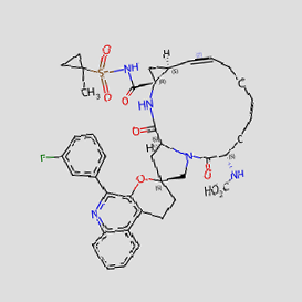 CC1(S(=O)(=O)NC(=O)[C@@]23C[C@H]2/C=C\CCCCC[C@H](NC(=O)O)C(=O)N2C[C@]4(CCc5c(c(-c6cccc(F)c6)nc6ccccc56)O4)C[C@H]2C(=O)N3)CC1